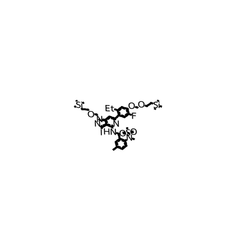 CCc1cc(OCOCC[Si](C)(C)C)c(F)cc1-c1cc2c(c(I)nn2COCC[Si](C)(C)C)c(NCc2cc(C)ccc2N(C)S(C)(=O)=O)n1